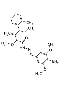 Bc1c(OC)cc(/C=N/NC(=O)C(OC)C(=C)C(CC)c2ccccc2C)cc1OC